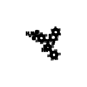 CN(Cc1ccccc1)C(=S)N(c1ccc(S(N)(=O)=O)cc1)c1cc(-c2ccccc2)[nH]n1